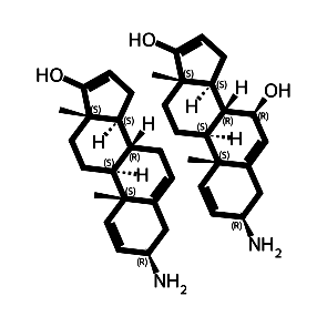 C[C@]12C=C[C@H](N)CC1=CC[C@@H]1[C@@H]2CC[C@]2(C)C(O)=CC[C@@H]12.C[C@]12C=C[C@H](N)CC1=C[C@H](O)[C@@H]1[C@@H]2CC[C@]2(C)C(O)=CC[C@@H]12